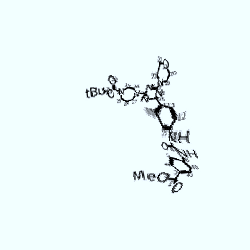 COC(=O)c1ccc(NC(=O)Nc2ccc(-c3nc(N4CCOCC4)nc(N4CCCN(C(=O)OC(C)(C)C)CC4)n3)cc2)cc1